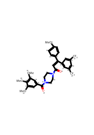 COc1ccc(C(=CC(=O)N2CCN(C(=O)c3cc(OC)c(OC)c(OC)c3)CC2)c2cc(C(F)(F)F)cc(C(F)(F)F)c2)cc1